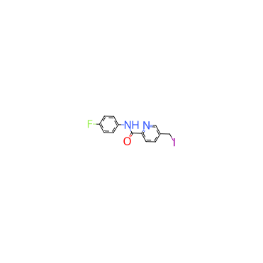 O=C(Nc1ccc(F)cc1)c1ccc(CI)cn1